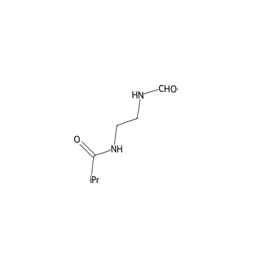 CC(C)C(=O)NCCN[C]=O